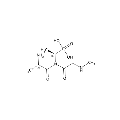 CNCC(=O)N(C(=O)[C@H](C)N)[C@@H](C)P(=O)(O)O